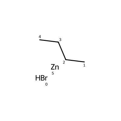 Br.CCCC.[Zn]